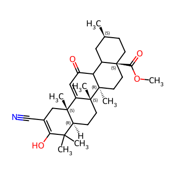 COC(=O)[C@]12CC[C@H](C)CC1C1C(=O)C=C3[C@@]4(C)CC(C#N)=C(O)C(C)(C)[C@@H]4CC[C@@]3(C)[C@]1(C)CC2